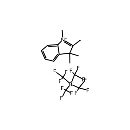 CC1=[N+](C)c2ccccc2C1(C)C.FC(F)(F)[B-](C(F)(F)F)(C(F)(F)F)C(F)(F)F